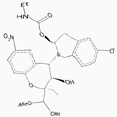 CCNC(=O)O[C@H]1Cc2cc(Cl)ccc2N1[C@H]1c2cc([N+](=O)[O-])ccc2O[C@](C)(C(OC)OC)[C@@H]1O